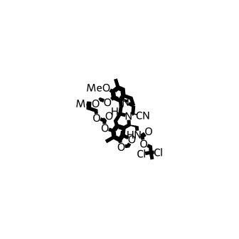 C=CCOC(=O)Oc1c(C)c2c(c3c1C[C@H]1C4c5c(cc(C)c(OC)c5OCOC)CC([C@H](C#N)N1[C@H]3CNC(=O)OCC(C)(Cl)Cl)N4C)OCO2